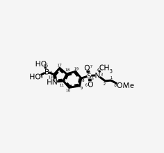 COCCN(C)S(=O)(=O)c1ccc2[nH]c(B(O)O)cc2c1